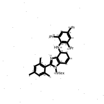 CCCCCCn1c(-c2c(C)cc(C)cc2C)nc2c1C=CCC2Nc1c(C(C)C)cc(C(C)C)cc1C(C)C